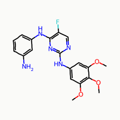 COc1cc(Nc2ncc(F)c(Nc3cccc(N)c3)n2)cc(OC)c1OC